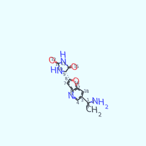 C=C(N)c1cnc2cc([C@@H]3NC(=O)NC3=O)oc2c1